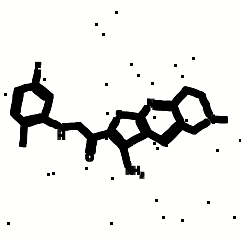 Cc1ccc(F)cc1NCC(=O)c1sc2nc3c(cc2c1N)CN(C)CC3